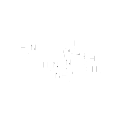 CC(C)C[C@@H](C(=O)O)N(C(=O)CN)C(=O)[C@@H](N)CCCCN